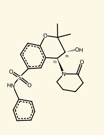 CC1(C)Oc2ccc(S(=O)(=O)Nc3ccccc3)cc2[C@H](N2CCCCC2=O)[C@H]1O